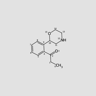 CCC(=O)c1ccccc1C1CNCCO1